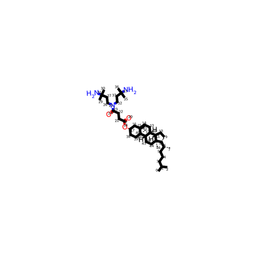 CC(C)CCC[C@@H](C)[C@H]1CC[C@H]2[C@@H]3CC=C4C[C@@H](OC(=O)CCC(=O)N(CCC(C)(C)N)CCC(C)(C)N)CC[C@]4(C)[C@H]3CC[C@]12C